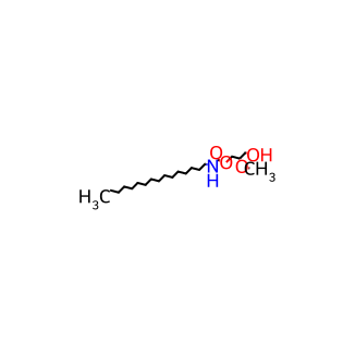 CCCCCCCCCCCCCCCCNC(=O)OCC(CO)OC